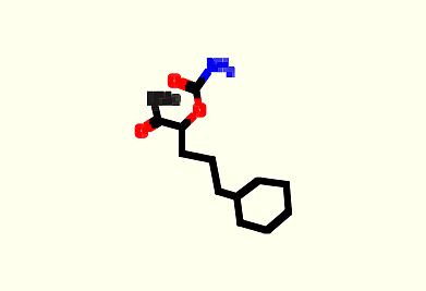 CNC(=O)C(CCCC1CCCCC1)OC(N)=O